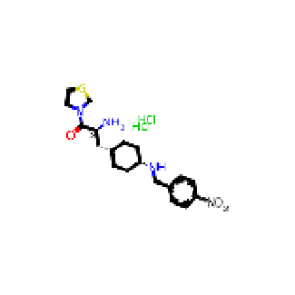 Cl.Cl.N[C@@H](C[C@H]1CC[C@@H](NCc2ccc([N+](=O)[O-])cc2)CC1)C(=O)N1CCSC1